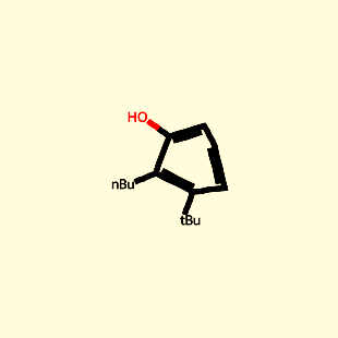 CCCCc1c(O)cccc1C(C)(C)C